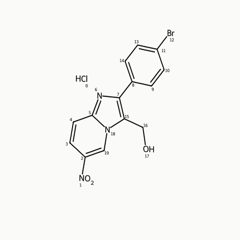 Cl.O=[N+]([O-])c1ccc2nc(-c3ccc(Br)cc3)c(CO)n2c1